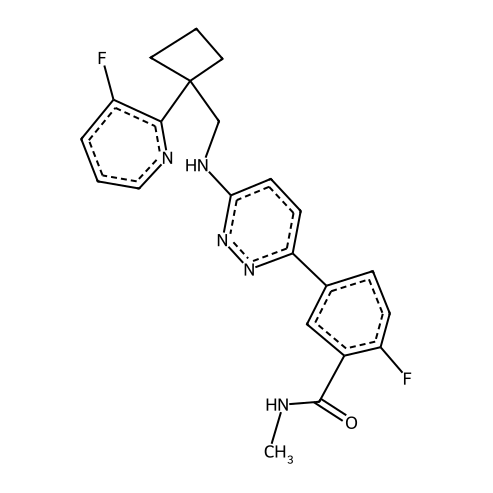 CNC(=O)c1cc(-c2ccc(NCC3(c4ncccc4F)CCC3)nn2)ccc1F